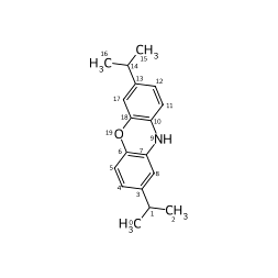 CC(C)c1ccc2c(c1)Nc1ccc(C(C)C)cc1O2